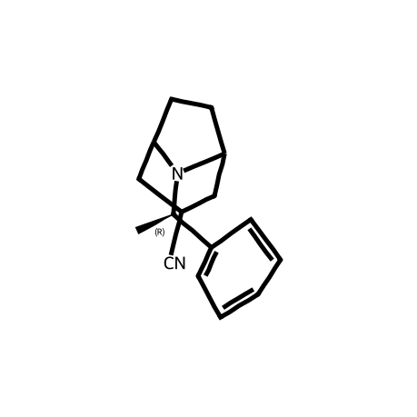 C[C@H](c1ccccc1)N1C2CCC1CC(C#N)C2